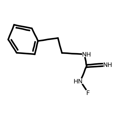 N=C(NF)NCCc1ccccc1